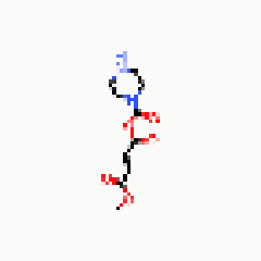 COC(=O)/C=C/C(=O)OC(=O)N1CCNCC1